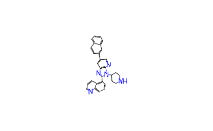 c1ccc2cc(-c3cnc4c(c3)nc(-c3cccc5ncccc35)n4C3CCNCC3)ccc2c1